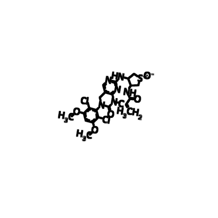 C=CC(=O)NC1C[S+]([O-])CC1Nc1ncc2c(n1)N(C)C(=O)N(c1c(Cl)c(OC)cc(OC)c1Cl)C2